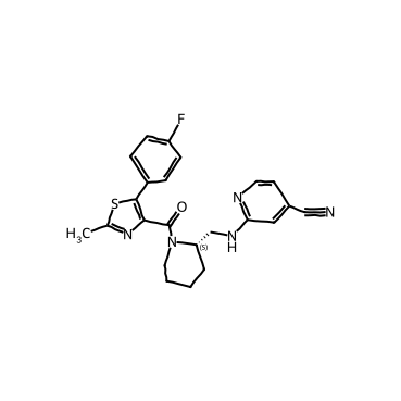 Cc1nc(C(=O)N2CCCC[C@H]2CNc2cc(C#N)ccn2)c(-c2ccc(F)cc2)s1